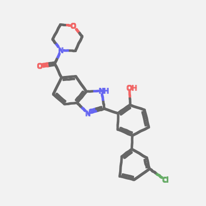 O=C(c1ccc2nc(-c3cc(-c4cccc(Cl)c4)ccc3O)[nH]c2c1)N1CCOCC1